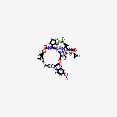 CC[C@@H]1[C@H](C)Oc2nc3cc(OC)ccc3nc2CCCCC[C@@H]2C[C@H]2OC(=O)N[C@@H](C2CCCC2)C(=O)N(C)[C@@H]1C(=O)N[C@]1(C(=O)NS(=O)(=O)C2CC2)C[C@H]1C(F)F